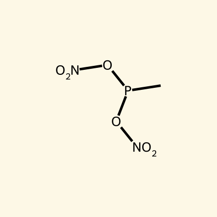 CP(O[N+](=O)[O-])O[N+](=O)[O-]